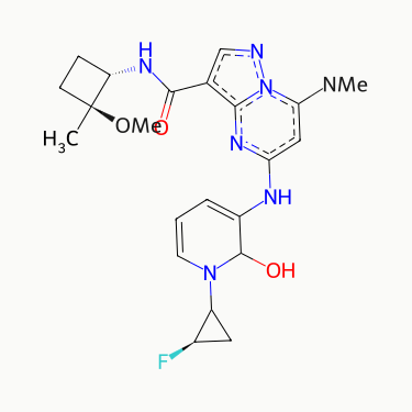 CNc1cc(NC2=CC=CN(C3C[C@H]3F)C2O)nc2c(C(=O)N[C@H]3CC[C@]3(C)OC)cnn12